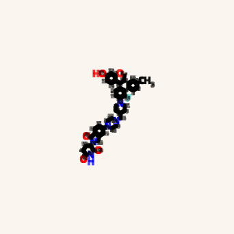 Cc1cccc([C@H]2COc3cc(O)ccc3[C@H]2c2ccc(N3CCC(CN4CCN(c5ccc6c(c5)CN([C@H]5CCC(=O)NC5=O)C6=O)CC4)CC3)c(F)c2)c1